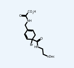 CCCCCCCCCCCCNC(=O)C1(Br)C=CC(CNC(=O)C(=O)O)=CC1